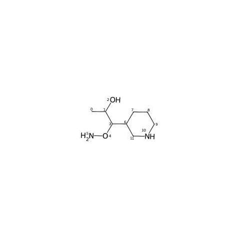 CC(O)C(ON)C1CCCNC1